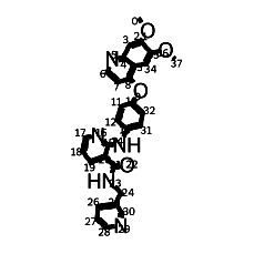 COc1cc2nccc(Oc3ccc(Nc4ncccc4C(=O)NCc4cccnc4)cc3)c2cc1OC